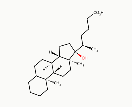 C[C@H](CCCC(=O)O)[C@@]1(O)CC[C@H]2[C@@H]3CCC4CCCC[C@]4(C)[C@H]3CC[C@@]21C